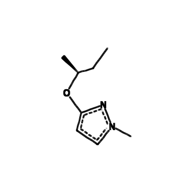 CC[C@H](C)Oc1ccn(C)n1